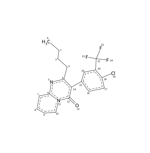 CCCCc1nc2ccccn2c(=O)c1-c1ccc(Cl)c(C(F)(F)F)c1